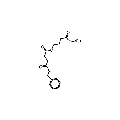 CC(C)(C)OC(=O)CCCOC(=O)CCC(=O)OCc1ccccc1